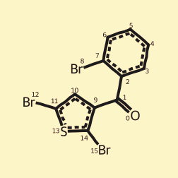 O=C(c1ccccc1Br)c1cc(Br)sc1Br